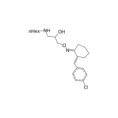 CCCCCCNCC(O)CO/N=C1\CCCC\C1=C/c1ccc(Cl)cc1